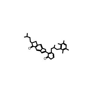 Cc1cc(C)c(C)c(CC(C)CC2=C(C3=Cc4cc5c(cc4C3)CC(CCC(C)C)C5=O)C(=O)CC=C2)c1C